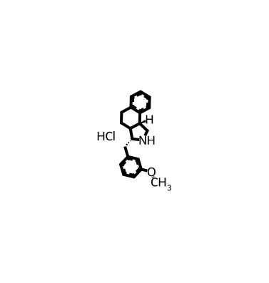 COc1cccc(C[C@H]2NC[C@H]3c4ccccc4CCC23)c1.Cl